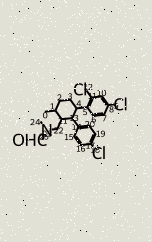 CC1CCC(c2ccc(Cl)cc2Cl)C(c2ccc(Cl)cc2)C1CN(C)C=O